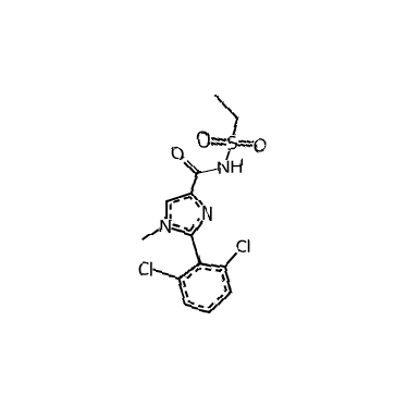 CCS(=O)(=O)NC(=O)c1cn(C)c(-c2c(Cl)cccc2Cl)n1